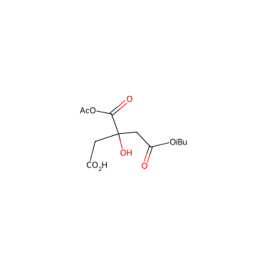 CC(=O)OC(=O)C(O)(CC(=O)O)CC(=O)OCC(C)C